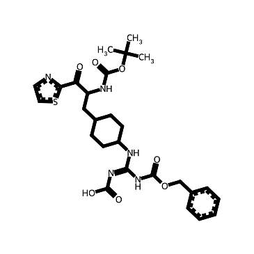 CC(C)(C)OC(=O)NC(CC1CCC(NC(=NC(=O)O)NC(=O)OCc2ccccc2)CC1)C(=O)c1nccs1